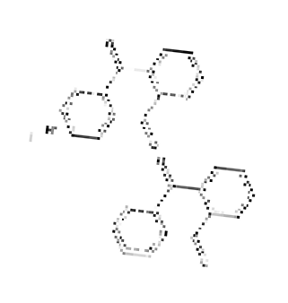 O=C1c2ccccc2C(=O)c2ccccc21.O=C1c2ccccc2C(=O)c2ccccc21.[H+].[H+]